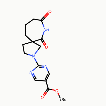 CC(C)(C)OC(=O)c1cnc(N2CCC3(CCCC(=O)NC3=O)C2)nc1